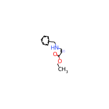 CCOC(=O)/C=C\NCc1ccccc1